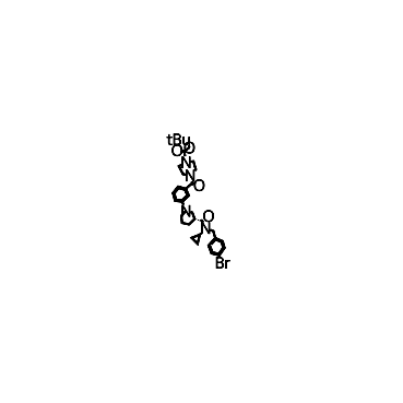 CC(C)(C)OC(=O)N1CCN(C(=O)c2cccc(N3CCC[C@@H](C(=O)N(Cc4ccc(Br)cc4)C4CC4)C3)c2)CC1